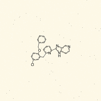 Clc1ccc(OCc2ccccc2)c(Cc2cccc(-c3nc4cnccc4[nH]3)n2)c1